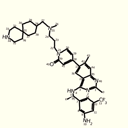 Cc1nc(N[C@H](C)c2cc(N)cc(C(F)(F)F)c2)c2cc(-c3ccn(CCCN(C)CC4CCC5(CCNCC5)CC4)c(=O)c3)c(C)cc2n1